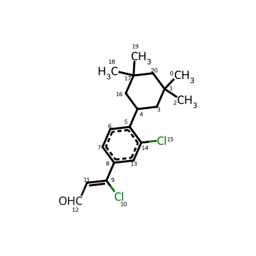 CC1(C)CC(c2ccc(C(Cl)=CC=O)cc2Cl)CC(C)(C)C1